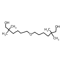 CC(C)(CO)CCCCOCCCCC(C)(C)CO